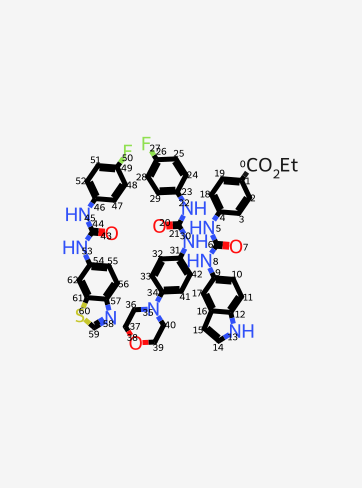 CCOC(=O)c1ccc(NC(=O)Nc2ccc3[nH]ccc3c2)cc1.O=C(Nc1ccc(F)cc1)Nc1ccc(N2CCOCC2)cc1.O=C(Nc1ccc(F)cc1)Nc1ccc2ncsc2c1